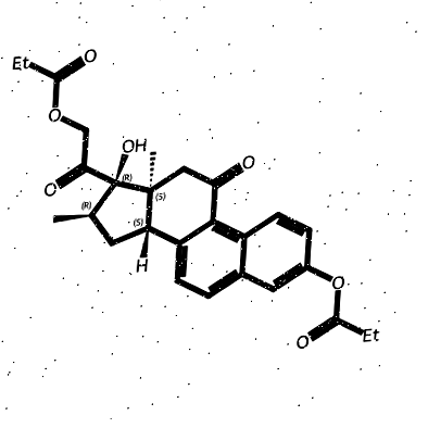 CCC(=O)OCC(=O)[C@@]1(O)[C@H](C)C[C@H]2c3ccc4cc(OC(=O)CC)ccc4c3C(=O)C[C@@]21C